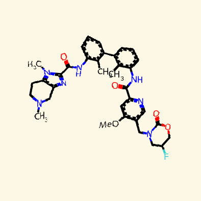 COc1cc(C(=O)Nc2cccc(-c3cccc(NC(=O)c4nc5c(n4C)CCN(C)C5)c3C)c2C)ncc1CN1CC(F)COC1=O